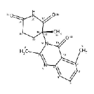 Cc1cccc2nc(C)n([C@]3(C)CCC(=O)NC3=O)c(=O)c12